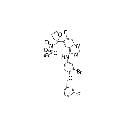 CCN(CC1(c2cc3c(Nc4ccc(OCc5cccc(F)c5)c(Br)c4)ncnc3cc2F)CC=CO1)S(=O)(=O)C(C)C